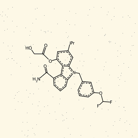 CC(C)c1cc(OC(=O)CO)c2c3c(C(N)=O)cccc3n(Cc3cccc(OC(F)F)c3)c2c1